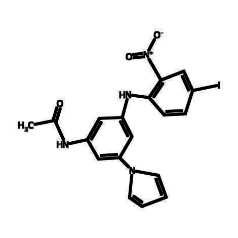 CC(=O)Nc1cc(Nc2ccc(I)cc2[N+](=O)[O-])cc(-n2cccc2)c1